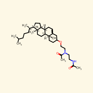 CC(=O)NCCN(CCOC1CC[C@@]2(C)C(=CC[C@H]3[C@@H]4CC[C@H]([C@H](C)CCCC(C)C)[C@@]4(C)CC[C@@H]32)C1)C(C)=O